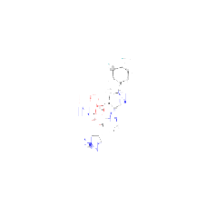 CNC(=O)OC1(c2cnn(C)c2)CCCN(c2cnc(-c3ccc(F)c(F)c3)cc2CO)C1